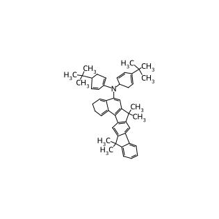 CC(C)(C)C1=CCC(N(C2=CCC(C(C)(C)C)C=C2)c2cc3c(c4c2=CCCC=4)-c2cc4c(cc2C3(C)C)-c2ccccc2C4(C)C)C=C1